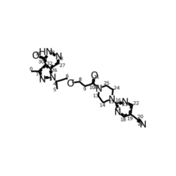 Cc1nn(C(C)COCCC(=O)N2CCN(c3ncc(C#N)cn3)CC2)c2cn[nH]c(=O)c12